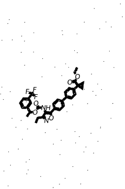 CCOC(=O)C1(c2ccc(-c3ccc(-c4onc(CC)c4NC(=O)OC(C)c4cccc(C(F)(F)F)c4)cc3)cc2)CC1